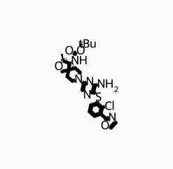 C[C@@H]1OCC2(CCN(c3cnc(Sc4cccc(-c5ncco5)c4Cl)c(N)n3)CC2)[C@@H]1NC(=O)OC(C)(C)C